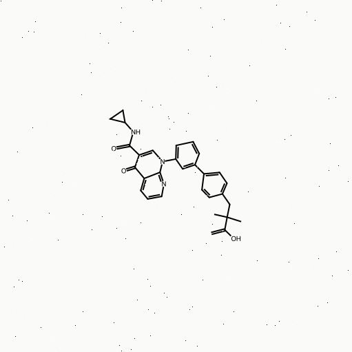 C=C(O)C(C)(C)Cc1ccc(-c2cccc(-n3cc(C(=O)NC4CC4)c(=O)c4cccnc43)c2)cc1